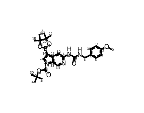 COc1ccc(CNC(=O)Nc2cc3c(B4OC(C)(C)C(C)(C)O4)cn(C(=O)OC(C)(C)C)c3cn2)cc1